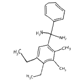 CCc1cc(C(N)(N)c2ccccc2)c(C)c(C)c1CC